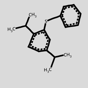 CC(C)c1ccc(C(C)C)c(Sc2ccccc2)c1